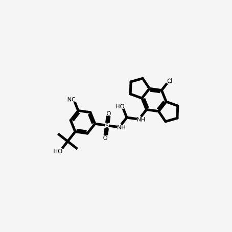 CC(C)(O)c1cc(C#N)cc(S(=O)(=O)NC(O)Nc2c3c(c(Cl)c4c2CCC4)CCC3)c1